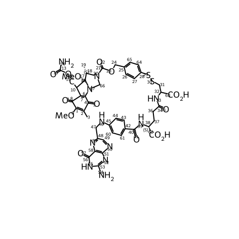 COC1=C(C)C(=O)C2=C(C1=O)C(COC(N)=O)[C@@]1(OC)[C@H](C)N(C(=O)OCc3ccc(SSCC(NC(=O)CC[C@H](NC(=O)c4ccc(NCc5cnc6nc(N)[nH]c(=O)c6n5)cc4)C(=O)O)C(=O)O)cc3)CN21